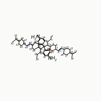 CCCC(C1CCC(/C=C/C2CCC(C(C)C)CC2)CC1)C(c1ccc(N)cc1)(c1ccc(N)cc1)C(CCC)C1CCC(/C=C/C2CCC(C(C)C)CC2)CC1